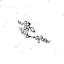 COc1ccc2c(n1)C(C)(C)N(c1cncc(N3CCN(C(=O)OC(C)(C)C)CC3)c1)C2=O